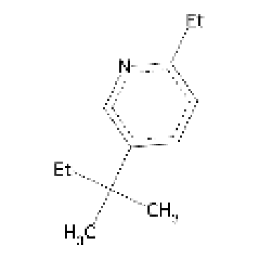 CCc1ccc(C(C)(C)CC)cn1